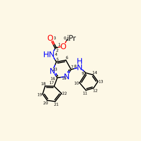 CC(C)OC(=O)Nc1cc(Nc2ccccc2)nc(-c2ccccc2)n1